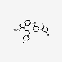 CN1CCN(CCCN(C(=O)OC(C)(C)C)c2cc(Nc3cnnc(-c4cc(Cl)ccc4F)c3)ccn2)CC1